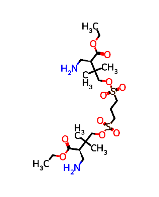 CCOC(=O)[C@H](CN)C(C)(C)COS(=O)(=O)CCCS(=O)(=O)OCC(C)(C)[C@@H](CN)C(=O)OCC